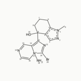 Cn1ncc2c1CCCC2(O)C1=C2C=NC=C[N+]2(N)C(Br)=N1